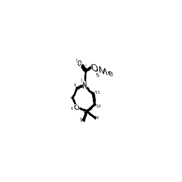 COC(=O)N1CCOC(C)(C)CC1